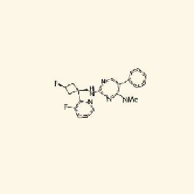 CNc1nc(NC[C@]2(c3ncccc3F)C[C@H](F)C2)ncc1-c1ccccc1